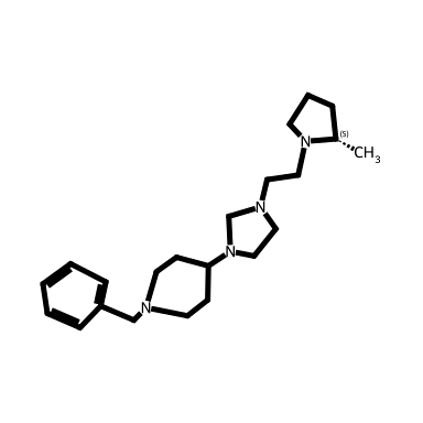 C[C@H]1CCCN1CCN1CCN(C2CCN(Cc3ccccc3)CC2)C1